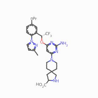 CCCc1ccc(-n2ccc(C)n2)c([C@@H](Oc2cc(N3CCC4(CC3)CNC(C(=O)O)C4)nc(N)n2)C(F)(F)F)c1